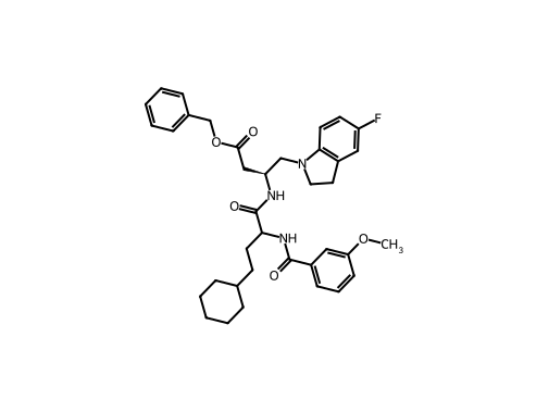 COc1cccc(C(=O)NC(CCC2CCCCC2)C(=O)N[C@@H](CC(=O)OCc2ccccc2)CN2CCc3cc(F)ccc32)c1